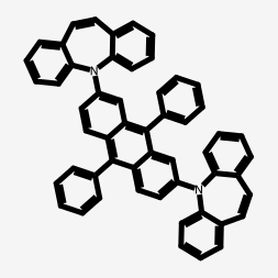 C1=Cc2ccccc2N(c2ccc3c(-c4ccccc4)c4ccc(N5c6ccccc6C=Cc6ccccc65)cc4c(-c4ccccc4)c3c2)c2ccccc21